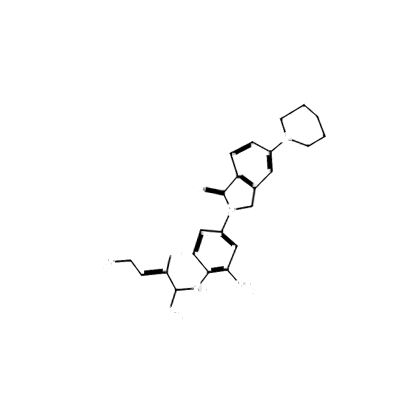 CC(Nc1ccc(N2Cc3cc(N4CCCCC4)ccc3C2=O)cc1N)/C(O)=C/CN